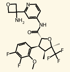 COc1c([C@H]2[C@H](C(=O)Nc3ccnc(C4(N)COC4)c3)O[C@@](C)(C(F)(F)F)[C@H]2C)ccc(F)c1F